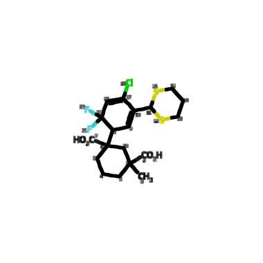 CC1(C(=O)O)CCCC(C(=O)O)(C2C=C(C3SCCCS3)C(Cl)=CC2(F)F)C1